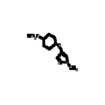 Cn1cc(OC2CCC(C(=O)O)CC2)cn1